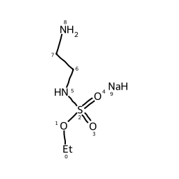 CCOS(=O)(=O)NCCN.[NaH]